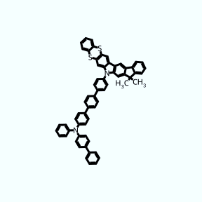 CC1(C)c2ccccc2-c2cc3c4cc5c(cc4n(-c4ccc(-c6ccc(-c7ccc(N(c8ccccc8)c8ccc(-c9ccccc9)cc8)cc7)cc6)cc4)c3cc21)Sc1ccccc1S5